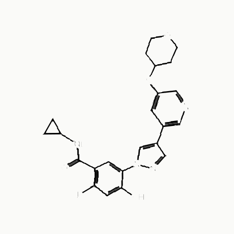 Cc1cc(F)c(C(=O)NC2CC2)cc1-n1cc(-c2cncc(SC3CCOCC3)c2)cn1